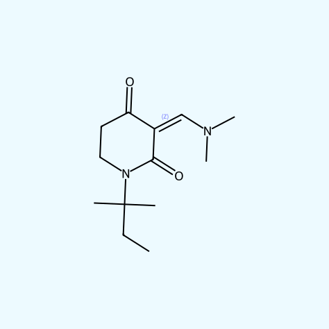 CCC(C)(C)N1CCC(=O)/C(=C/N(C)C)C1=O